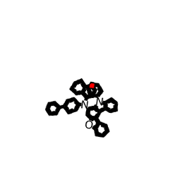 c1ccc(-c2ccc(N(c3cccc4ccccc34)c3cc4oc5ccccc5c4c4c5ccccc5n(-c5ccccc5)c34)cc2)cc1